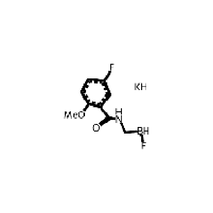 COc1ccc(F)cc1C(=O)NCBF.[KH]